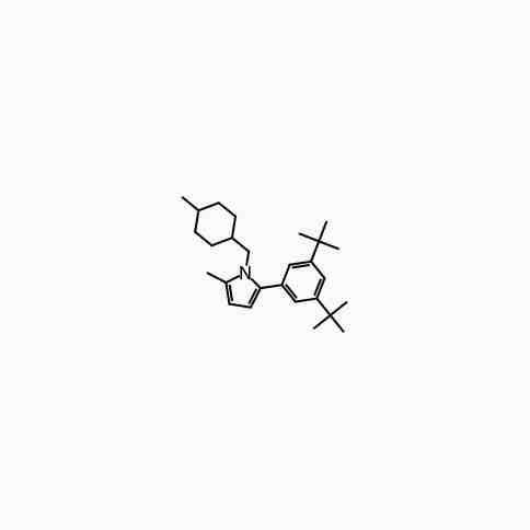 Cc1ccc(-c2cc(C(C)(C)C)cc(C(C)(C)C)c2)n1CC1CCC(C)CC1